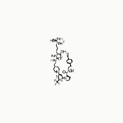 N#Cc1ccc(CCNC(=O)C2CCCN2c2cc(N3CCC(CCNC(=O)NC(CCCNC(=N)N)C(=O)O)CC3)nc(C(F)(F)F)n2)cc1